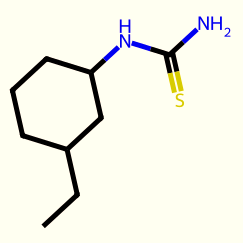 CCC1CCCC(NC(N)=S)C1